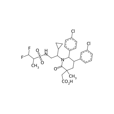 CC(C(F)F)S(=O)(=O)NCC(C1CC1)N1C(=O)C(C)(CC(=O)O)CC(c2cccc(Cl)c2)C1c1ccc(Cl)cc1